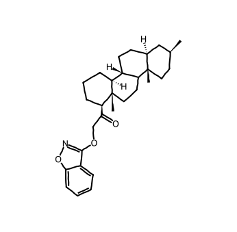 C[C@H]1CC[C@]2(C)C3CC[C@]4(C)[C@@H](C(=O)COc5noc6ccccc56)CCC[C@H]4[C@@H]3CC[C@H]2C1